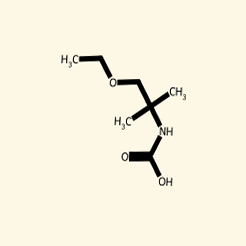 CCOCC(C)(C)NC(=O)O